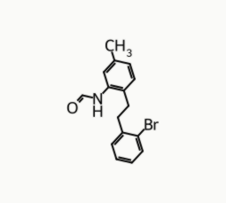 Cc1ccc(CCc2ccccc2Br)c(NC=O)c1